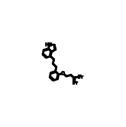 CC(C)N(CCOc1ccccc1CCCc1cccc2[nH]ccc12)C(C)C